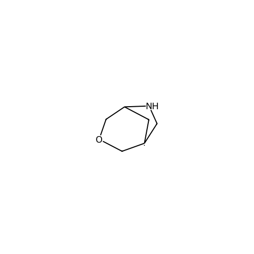 C1NC2COC[C]1C2